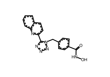 O=C(NO)c1ccc(Cn2nnnc2-c2ccc3ccccc3n2)cc1